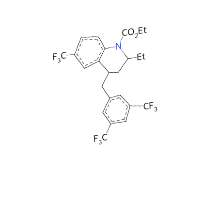 CCOC(=O)N1c2ccc(C(F)(F)F)cc2C(Cc2cc(C(F)(F)F)cc(C(F)(F)F)c2)CC1CC